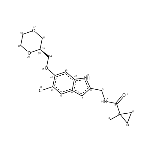 CC1(C(=O)NCc2cc3cc(Cl)c(OC[C@@H]4COCCO4)cc3[nH]2)CC1